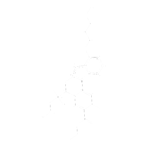 CCOC(=O)C1=CN2C(=CC1O)c1c3cccc(OCCCOC)c3nn1CC2C(C)(C)COC